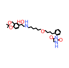 CC1(C)OCc2cc([C@H](O)CNCCCCCCOCCCCc3ccccc3N3C(=O)CNC3=O)ccc2O1